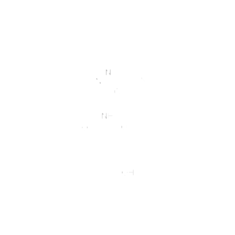 COc1cc(O)ccc1C(=O)NCc1nnc(-c2cccs2)o1